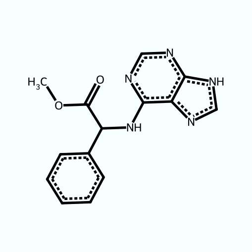 COC(=O)C(Nc1ncnc2[nH]cnc12)c1ccccc1